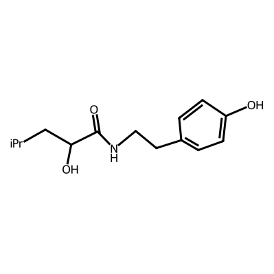 CC(C)CC(O)C(=O)NCCc1ccc(O)cc1